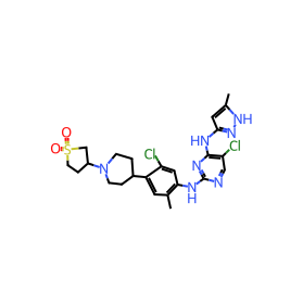 Cc1cc(Nc2nc(Nc3cc(Cl)c(C4CCN(C5CCS(=O)(=O)C5)CC4)cc3C)ncc2Cl)n[nH]1